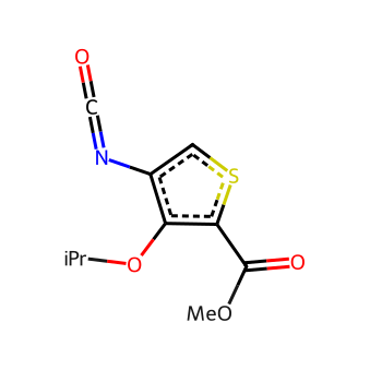 COC(=O)c1scc(N=C=O)c1OC(C)C